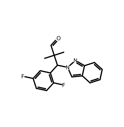 CC(C)(C=O)C(c1cc(F)ccc1F)n1cc2ccccc2n1